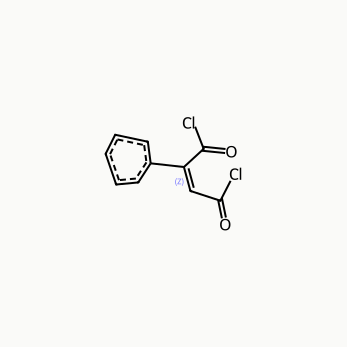 O=C(Cl)/C=C(\C(=O)Cl)c1ccccc1